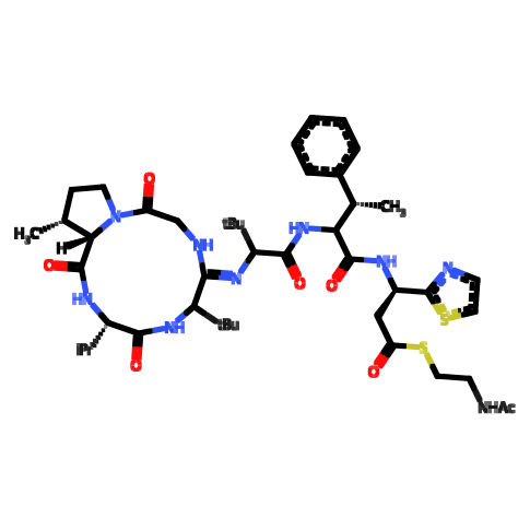 CC(=O)NCCSC(=O)C[C@@H](NC(=O)C(NC(=O)C(/N=C1\NCC(=O)N2CC[C@@H](C)[C@H]2C(=O)N[C@@H](C(C)C)C(=O)NC1C(C)(C)C)C(C)(C)C)[C@@H](C)c1ccccc1)c1nccs1